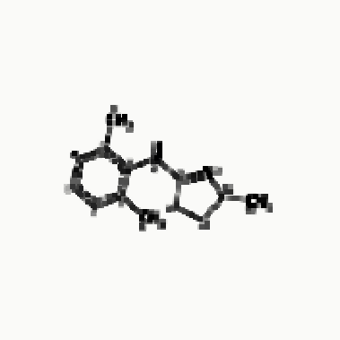 Cc1cccc(C)c1NC1=NC(C)CC1